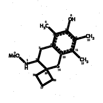 CONC1Cc2c(C)c(O)c(C)c(C)c2SC12CCC2